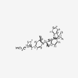 O=C(O)[C@@H]1CCN1Cc1ccc(-c2nc3ccc(C4(c5ccccc5)CC4)nc3s2)c(F)c1